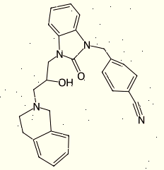 N#Cc1ccc(Cn2c(=O)n(CC(O)CN3CCc4ccccc4C3)c3ccccc32)cc1